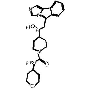 O=C(NC1CCOCC1)N1CCC([C@H](O)CC2c3ccccc3-c3cncn32)CC1